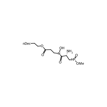 CCCCCCCCCCCCOC(=O)CCN(O)C(=O)[C@H](N)C[PH](=O)OC